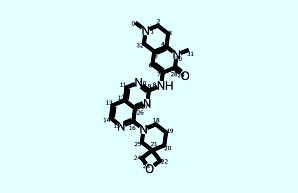 CN1CCc2c(cc(Nc3ncc4ccnc(N5CCCC6(COC6)C5)c4n3)c(=O)n2C)C1